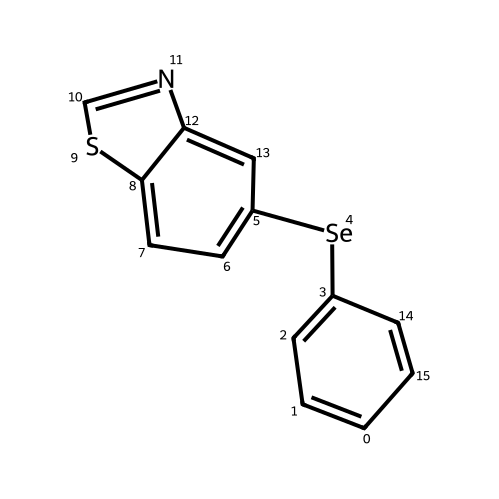 c1ccc([Se]c2ccc3scnc3c2)cc1